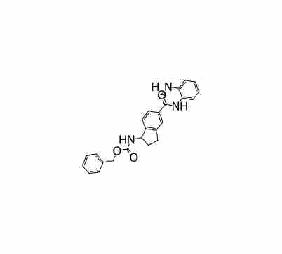 Nc1ccccc1NC(=O)c1ccc2c(c1)CCC2NC(=O)OCc1ccccc1